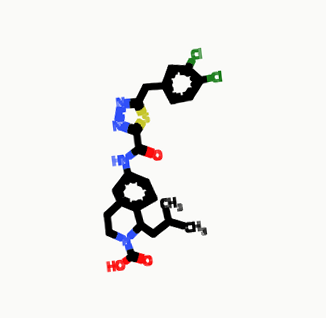 CC(C)CC1c2ccc(NC(=O)c3nnc(Cc4ccc(Cl)c(Cl)c4)s3)cc2CCN1C(=O)O